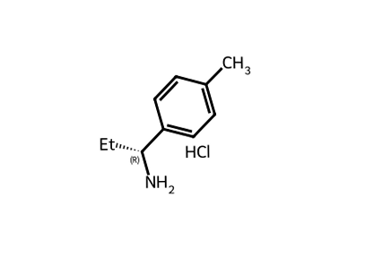 CC[C@@H](N)c1ccc(C)cc1.Cl